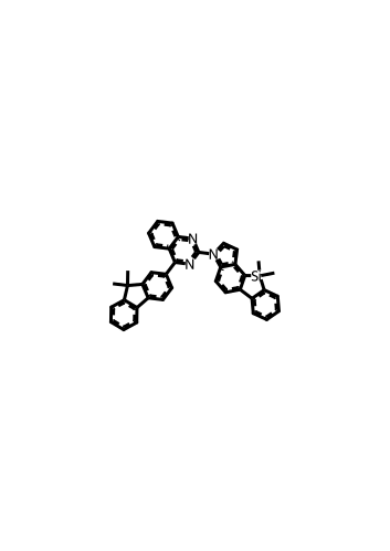 CC1(C)c2ccccc2-c2ccc(-c3nc(-n4ccc5c6c(ccc54)-c4ccccc4[Si]6(C)C)nc4ccccc34)cc21